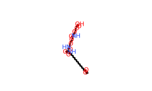 CC(=O)[C@H](CC(=O)NCCOCCOCC(=O)NCCOCCOCC(=O)O)NC(=O)CCCCCCCCCCCCCCCCC(=O)OC(C)(C)C